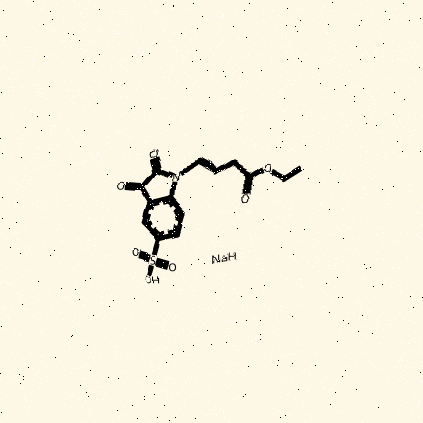 CCOC(=O)CCCN1C(=O)C(=O)c2cc(S(=O)(=O)O)ccc21.[NaH]